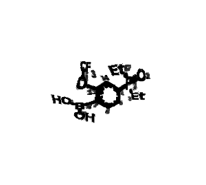 CCP(=O)(CC)c1ccc(B(O)O)c(OC(F)(F)F)c1